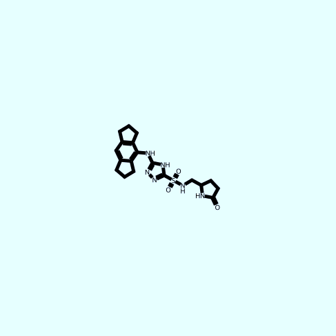 O=C1CCC(CNS(=O)(=O)c2nnc(Nc3c4c(cc5c3CCC5)CCC4)[nH]2)N1